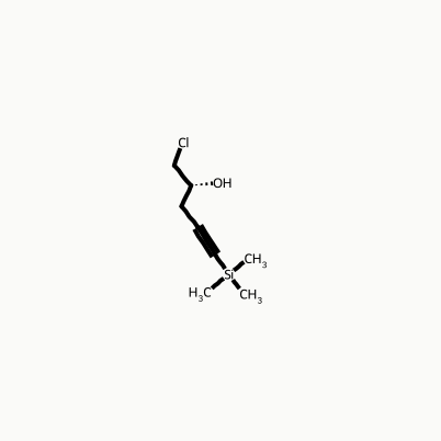 C[Si](C)(C)C#CC[C@@H](O)CCl